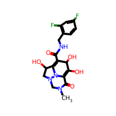 CN1CN2CC(O)C3=C(C(=O)NCc4ccc(F)cc4F)C(O)C(O)=C(C1=O)N32